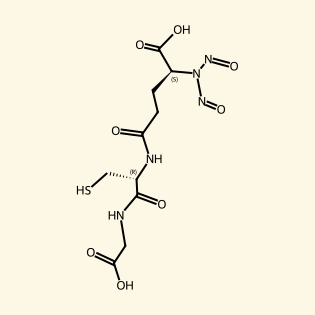 O=NN(N=O)[C@@H](CCC(=O)N[C@@H](CS)C(=O)NCC(=O)O)C(=O)O